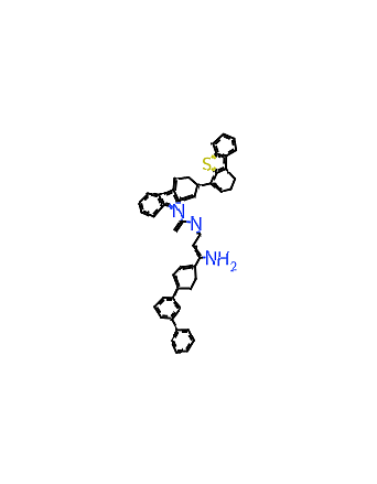 C=C(/N=C\C=C(/N)C1=CC=C(c2cccc(-c3ccccc3)c2)CC1)n1c2c(c3ccccc31)=CCC(C1=CCCc3c1sc1ccccc31)C=2